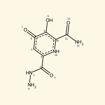 NNC(=O)c1cc(=O)c(O)c(C(N)=O)[nH]1